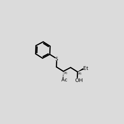 CC[C@@H](O)C[C@@H](CSc1ccccc1)C(C)=O